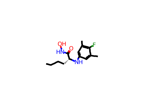 CCCC[C@@H](Nc1cc(C)c(F)c(C)c1)C(=O)NO